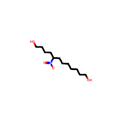 O=[N+]([O-])C(CCCCO)CCCCCCCO